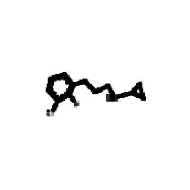 Fc1c(Cl)cccc1CCCNC1CC1